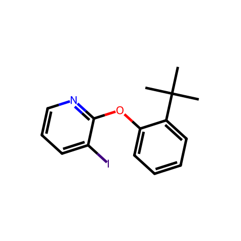 CC(C)(C)c1ccccc1Oc1ncccc1I